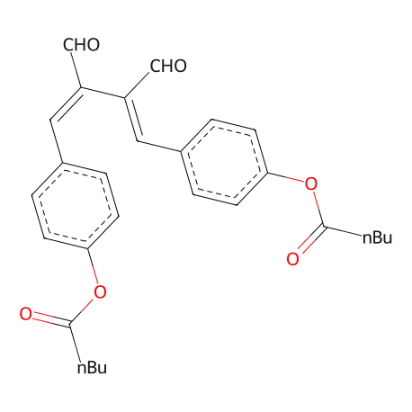 CCCCC(=O)Oc1ccc(C=C(C=O)C(C=O)=Cc2ccc(OC(=O)CCCC)cc2)cc1